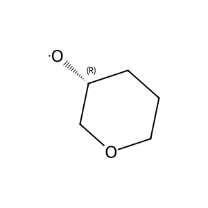 [O][C@@H]1CCCOC1